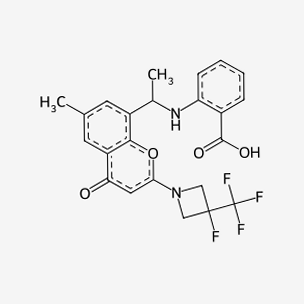 Cc1cc(C(C)Nc2ccccc2C(=O)O)c2oc(N3CC(F)(C(F)(F)F)C3)cc(=O)c2c1